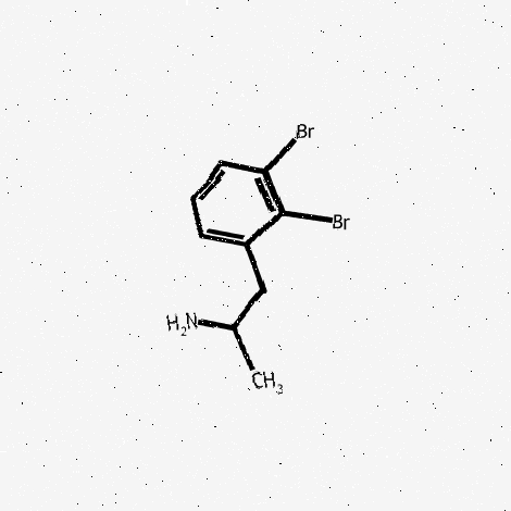 CC(N)Cc1cccc(Br)c1Br